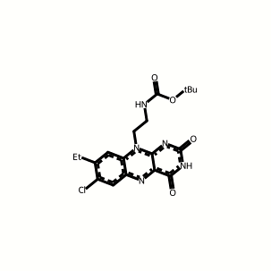 CCc1cc2c(cc1Cl)nc1c(=O)[nH]c(=O)nc-1n2CCNC(=O)OC(C)(C)C